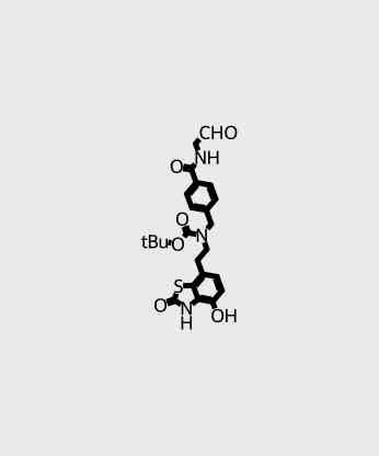 CC(C)(C)OC(=O)N(CCc1ccc(O)c2[nH]c(=O)sc12)Cc1ccc(C(=O)NCC=O)cc1